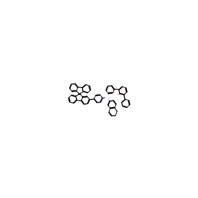 C1=Cc2cc(N(c3ccc(-c4ccc5c(c4)C4(c6ccccc6-c6ccccc64)c4ccccc4-5)cc3)c3cccc4c3oc3c(-c5ccccc5)cccc34)ccc2CC1